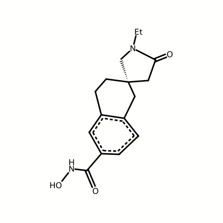 CCN1C[C@]2(CCc3cc(C(=O)NO)ccc3C2)CC1=O